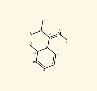 C/N=C(/C(C)C)C1C=CC=CC1C